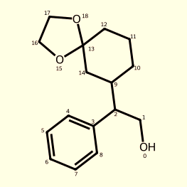 OCC(c1ccccc1)C1CCCC2(C1)OCCO2